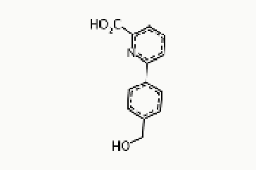 O=C(O)c1cccc(-c2ccc(CO)cc2)n1